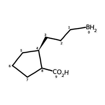 BCCC[C@@H]1CCCC1C(=O)O